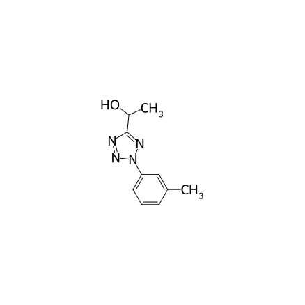 Cc1cccc(-n2nnc(C(C)O)n2)c1